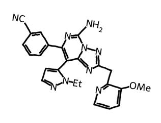 CCn1nccc1-c1c(-c2cccc(C#N)c2)nc(N)n2nc(Cc3ncccc3OC)nc12